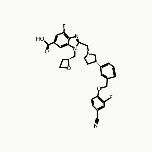 N#Cc1ccc(OCc2cccc([C@@H]3CCN(Cc4nc5c(F)cc(C(=O)O)cc5n4C[C@@H]4CCO4)C3)c2)c(F)c1